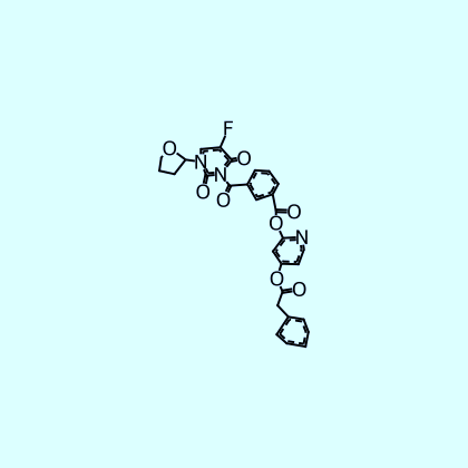 O=C(Cc1ccccc1)Oc1ccnc(OC(=O)c2cccc(C(=O)n3c(=O)c(F)cn(C4CCCO4)c3=O)c2)c1